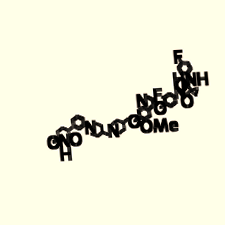 COc1cc2c(Oc3ccc(NC(=O)C4(C(=O)Nc5ccc(F)cc5)CC4)cc3F)ccnc2cc1OCC1CCN(CC2CCN(c3cccc(C4CCC(=O)NC4=O)c3)CC2)CC1